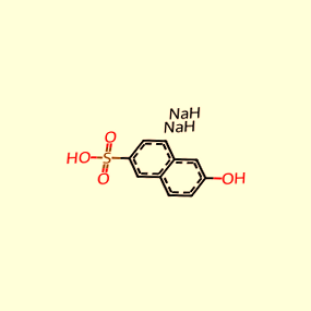 O=S(=O)(O)c1ccc2cc(O)ccc2c1.[NaH].[NaH]